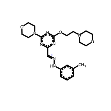 Cc1cccc(N/N=C/c2nc(OCCN3CCOCC3)nc(N3CCOCC3)n2)c1